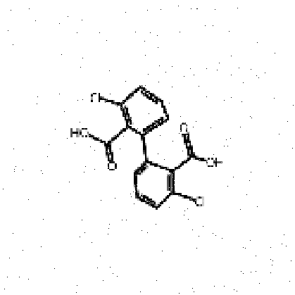 O=C(O)c1c(Cl)cccc1-c1cccc(Cl)c1C(=O)O